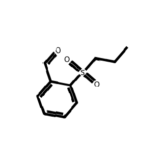 CCCS(=O)(=O)c1ccccc1[C]=O